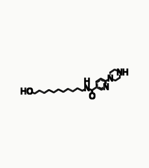 O=C(NCCCCCCCCCCCO)c1ccc(N2CCNCC2)nc1